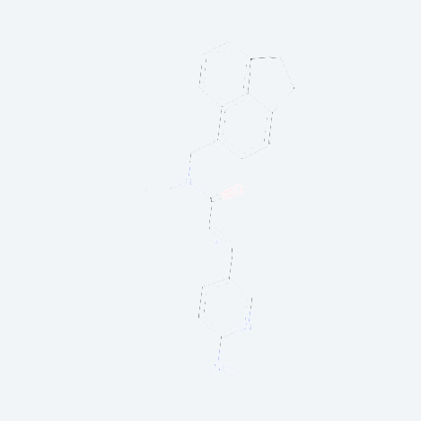 CN(Cc1ccc2c3c(cccc13)CC2)C(=O)/C=C/c1ccc(N)nc1.Cl